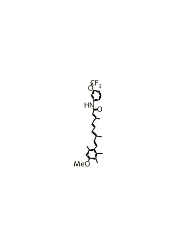 COc1cc(C)c(/C=C/C(C)=C/C=C/C(C)=C/C(=O)Nc2cccc(OC(F)(F)F)c2)c(C)c1C